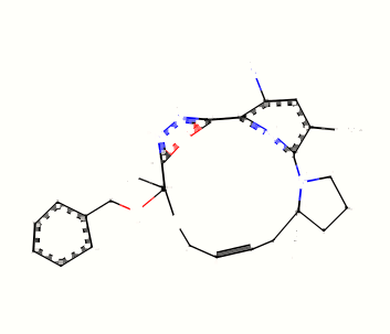 COc1cc(N)c2nc1N1CCC[C@H]1CC=CCCC(OCc1ccccc1)(C(F)(F)F)c1nnc-2o1